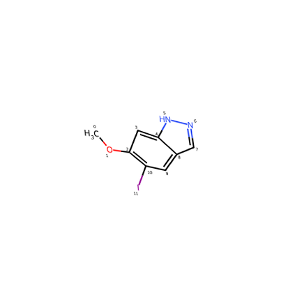 COc1cc2[nH]ncc2cc1I